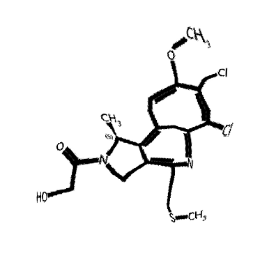 COc1cc2c3c(c(SC)nc2c(Cl)c1Cl)CN(C(=O)CO)[C@H]3C